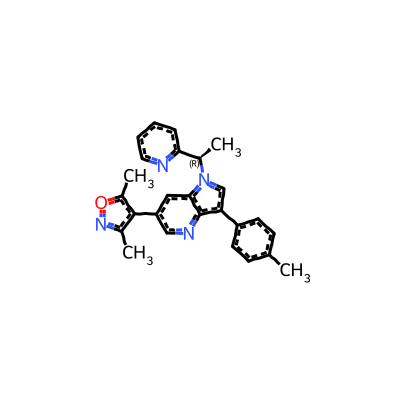 Cc1ccc(-c2cn([C@H](C)c3ccccn3)c3cc(-c4c(C)noc4C)cnc23)cc1